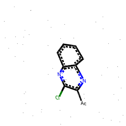 CC(=O)c1nc2ccccc2nc1Cl